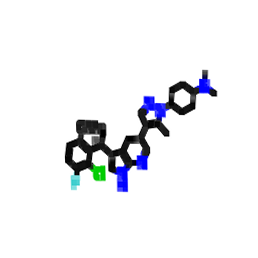 COc1ccc(F)c(Cl)c1[C@@H](C)c1c[nH]c2ncc(-c3cnn(C4CCC(N(C)C)CC4)c3C)cc12